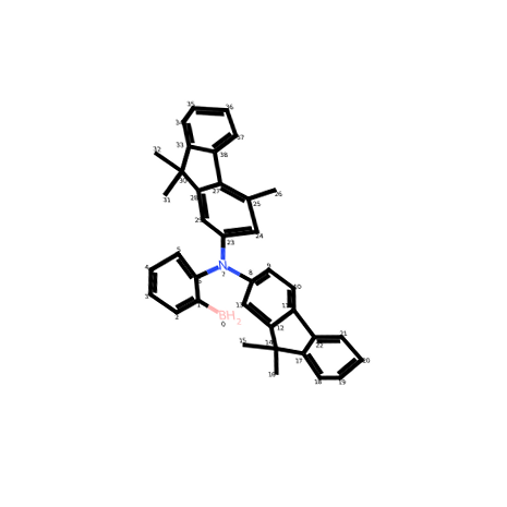 Bc1ccccc1N(c1ccc2c(c1)C(C)(C)c1ccccc1-2)c1cc(C)c2c(c1)C(C)(C)c1ccccc1-2